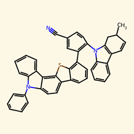 CC1C=Cc2c(n(-c3ccc(C#N)cc3-c3cccc4c3sc3c4ccc4c3c3ccccc3n4-c3ccccc3)c3ccccc23)C1